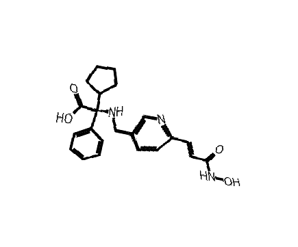 O=C(/C=C/c1ccc(CN[C@](C(=O)O)(c2ccccc2)C2CCCC2)cn1)NO